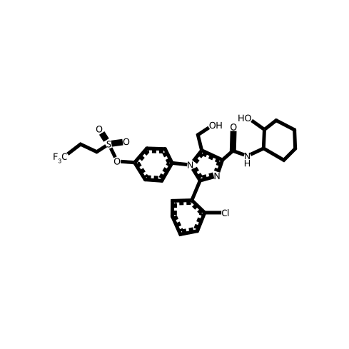 O=C(NC1CCCCC1O)c1nc(-c2ccccc2Cl)n(-c2ccc(OS(=O)(=O)CCC(F)(F)F)cc2)c1CO